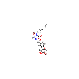 CCCCCCCn1c(=O)c(OCc2ccc(OC(C)(CCC)C(=O)O)cc2)nn(C)c1=O